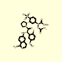 CCOc1ccc(F)c([C@H](Nc2ccc3c(N)nccc3c2)C(=O)N2CCC[C@@H]2c2cc(N(OC(=O)C(F)(F)F)C(=O)OC)ccc2S(=O)(=O)CC)c1